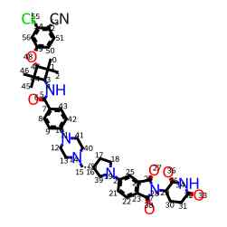 CC1(C)C(NC(=O)c2ccc(N3CCN(C[C@@H]4CCN(c5ccc6c(c5)C(=O)N(C5CCC(=O)NC5=O)C6=O)C4)CC3)cc2)C(C)(C)C1Oc1ccc(C#N)c(Cl)c1